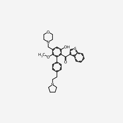 COc1c(CN2CCOCC2)cc(O)c(C(=O)c2csc3ccccc23)c1-c1ccc(CCN2CCCC2)cc1